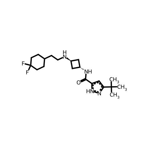 CC(C)(C)c1cc(C(=O)N[C@H]2C[C@H](NCCC3CCC(F)(F)CC3)C2)[nH]n1